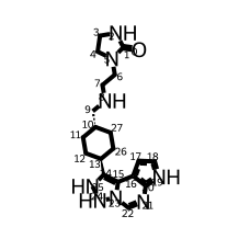 O=C1NCCN1CCNC[C@H]1CC[C@H](C2=C3c4cc[nH]c4N=CN3NN2)CC1